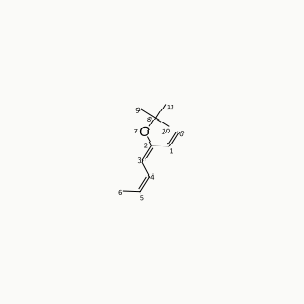 C=C/C(=C\C=C/C)OC(C)(C)C